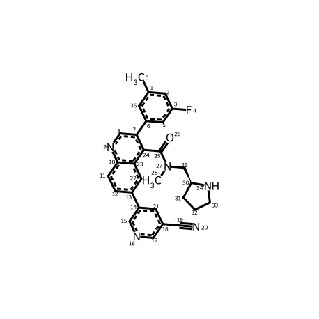 Cc1cc(F)cc(-c2cnc3ccc(-c4cncc(C#N)c4)cc3c2C(=O)N(C)C[C@@H]2CCCN2)c1